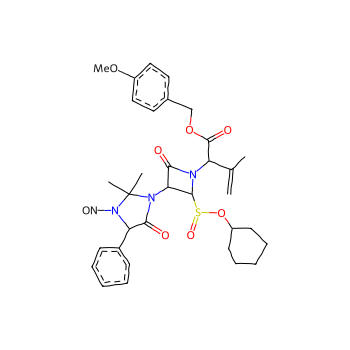 C=C(C)C(C(=O)OCc1ccc(OC)cc1)N1C(=O)C(N2C(=O)C(c3ccccc3)N(N=O)C2(C)C)C1S(=O)OC1CCCCC1